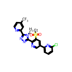 CCS(=O)(=O)c1cc(-c2cccc(Cl)n2)cnc1-c1nnc(-c2cc(C(F)(F)F)ccn2)n1C